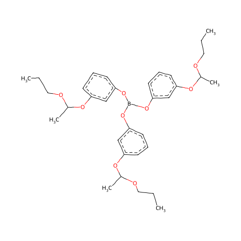 CCCOC(C)Oc1cccc(OB(Oc2cccc(OC(C)OCCC)c2)Oc2cccc(OC(C)OCCC)c2)c1